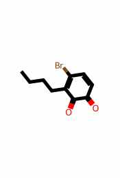 CCCCC1=C(Br)C=CC(=O)C1=O